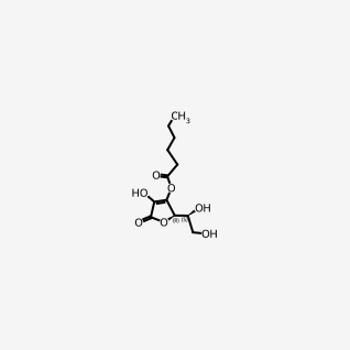 CCCCCC(=O)OC1=C(O)C(=O)O[C@@H]1[C@@H](O)CO